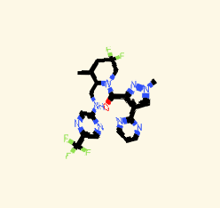 CC1CC(F)(F)CN(C(=O)c2nn(C)cc2-c2ncccn2)C1CNc1cnc(C(F)(F)F)cn1